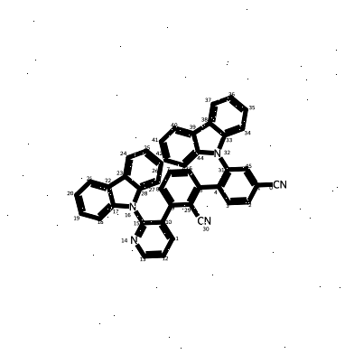 N#Cc1ccc(-c2cccc(-c3cccnc3-n3c4ccccc4c4ccccc43)c2C#N)c(-n2c3ccccc3c3ccccc32)c1